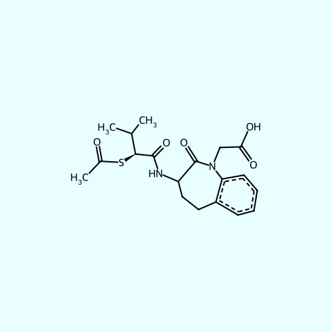 CC(=O)S[C@H](C(=O)NC1CCc2ccccc2N(CC(=O)O)C1=O)C(C)C